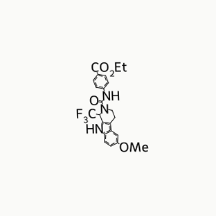 CCOC(=O)c1ccc(NC(=O)N2CCc3c([nH]c4ccc(OC)cc34)C2C(F)(F)F)cc1